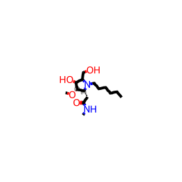 CCCCCCN1C(CO)C(O)[C@@H](OC)[C@H]1CC(=O)NC